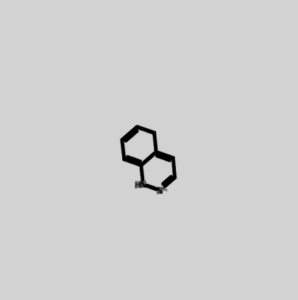 C1=CCC2=CC=[N+]NC2=C1